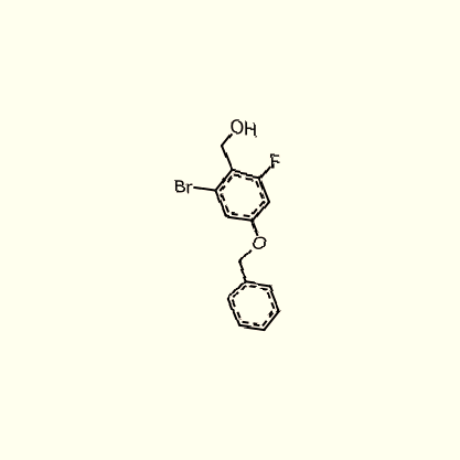 OCc1c(F)cc(OCc2ccccc2)cc1Br